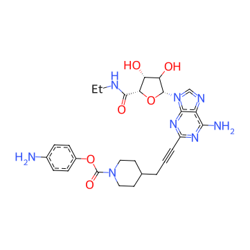 CCNC(=O)[C@H]1O[C@@H](n2cnc3c(N)nc(C#CCC4CCN(C(=O)Oc5ccc(N)cc5)CC4)nc32)C(O)[C@H]1O